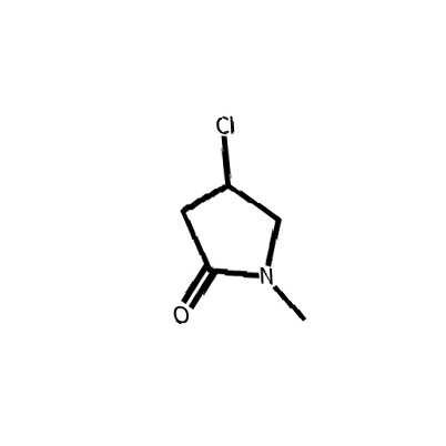 CN1CC(Cl)CC1=O